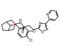 O=C(CCc1nc(-c2ccccn2)no1)NC1CC2CCC(C1)N2Cc1ccc(Cl)c(Cl)c1